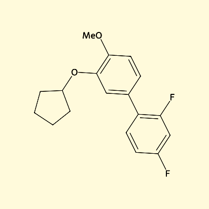 COc1ccc(-c2ccc(F)cc2F)cc1OC1CCCC1